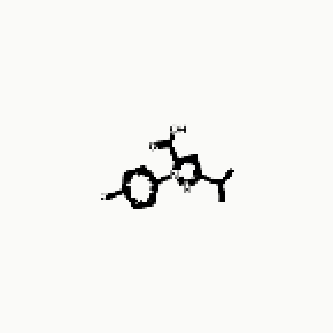 CC(C)c1cc(C(=O)O)n(-c2ccc(F)cc2)n1